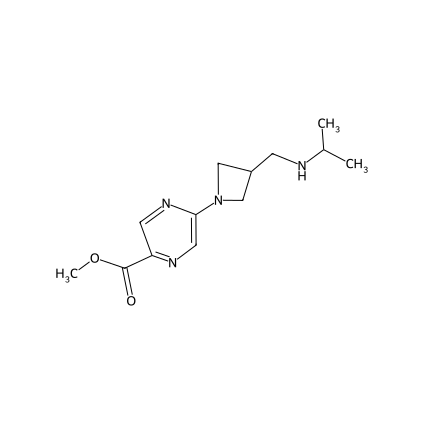 COC(=O)c1cnc(N2CC(CNC(C)C)C2)cn1